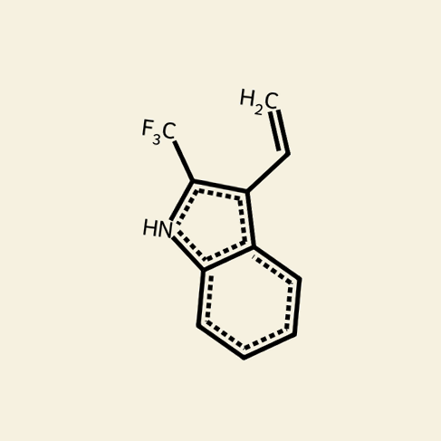 C=Cc1c(C(F)(F)F)[nH]c2ccccc12